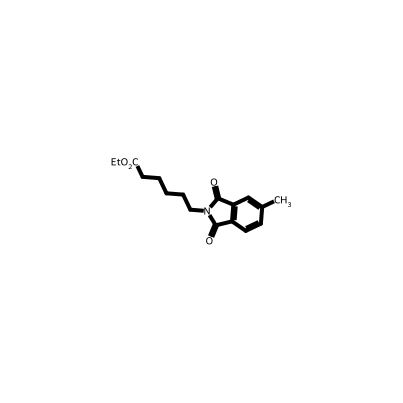 CCOC(=O)CCCCCN1C(=O)c2ccc(C)cc2C1=O